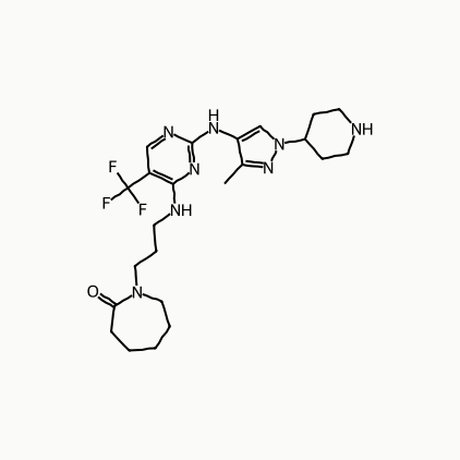 Cc1nn(C2CCNCC2)cc1Nc1ncc(C(F)(F)F)c(NCCCN2CCCCCC2=O)n1